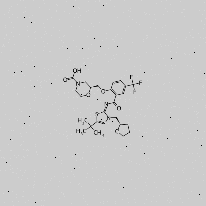 CC(C)(C)c1cn(C[C@H]2CCCO2)c(=NC(=O)c2cc(C(F)(F)F)ccc2OC[C@@H]2CN(C(=O)O)CCO2)s1